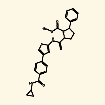 CC(C)(C)OC(=O)N1C(C(=O)Nc2nc(-c3ccc(C(=O)NC4CC4)cc3)cs2)CCC1c1ccccc1